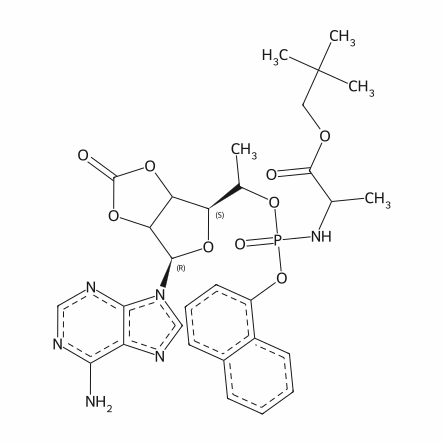 CC(NP(=O)(Oc1cccc2ccccc12)OC(C)[C@H]1O[C@@H](n2cnc3c(N)ncnc32)C2OC(=O)OC21)C(=O)OCC(C)(C)C